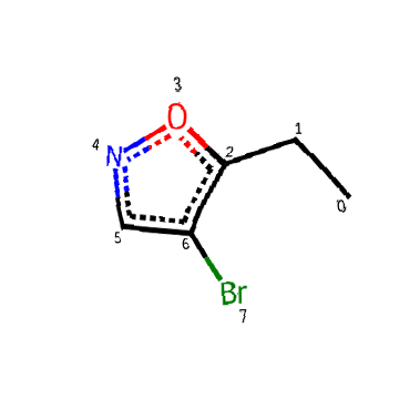 CCc1oncc1Br